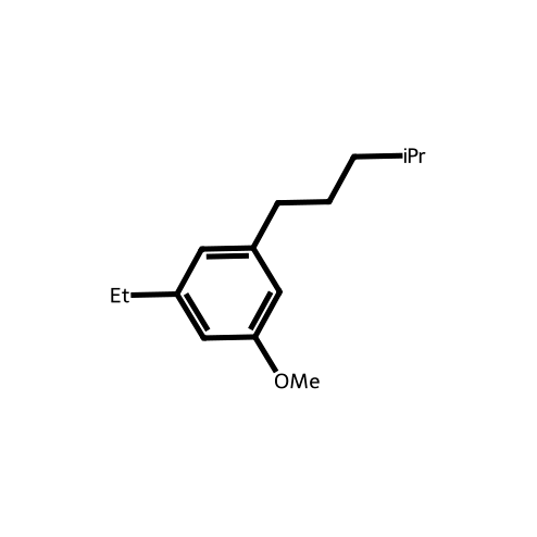 CCc1cc(CCCC(C)C)cc(OC)c1